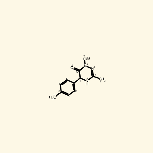 CCCCN1N=C(C)NC(c2ccc(C)cc2)C1=O